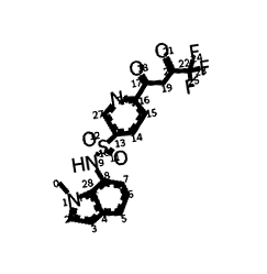 Cn1ccc2cccc(NS(=O)(=O)c3ccc(C(=O)CC(=O)C(F)(F)F)nc3)c21